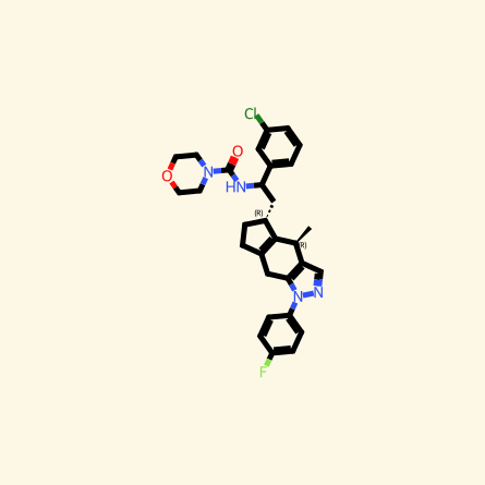 C[C@@H]1C2=C(CC[C@@H]2CC(NC(=O)N2CCOCC2)c2cccc(Cl)c2)Cc2c1cnn2-c1ccc(F)cc1